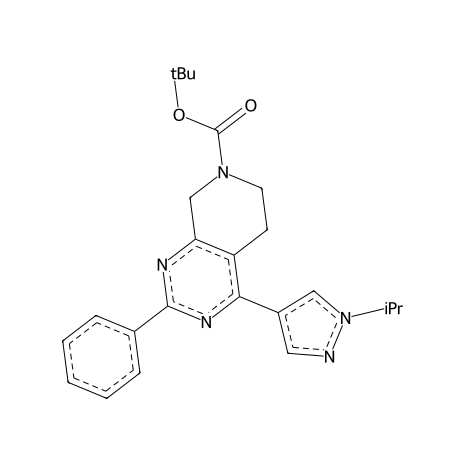 CC(C)n1cc(-c2nc(-c3ccccc3)nc3c2CCN(C(=O)OC(C)(C)C)C3)cn1